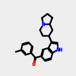 Cc1cccc(C(=O)c2ccc3[nH]cc(C4CCN5CCCC5C4)c3c2)c1